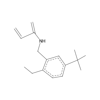 C=CC(=C)NCc1cc(C(C)(C)C)ccc1CC